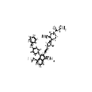 C=CC(=O)N1CC[C@@H](N2CC(C#Cc3c(-c4ccc(Oc5ccccn5)cc4)c4c(N)ncnc4n3C)C2)[C@@H](O)C1